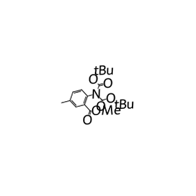 COC(=O)c1cc(C)ccc1N(C(=O)OC(C)(C)C)C(=O)OC(C)(C)C